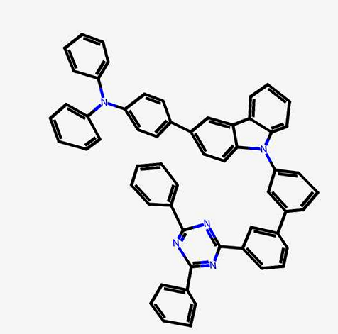 c1ccc(-c2nc(-c3ccccc3)nc(-c3cccc(-c4cccc(-n5c6ccccc6c6cc(-c7ccc(N(c8ccccc8)c8ccccc8)cc7)ccc65)c4)c3)n2)cc1